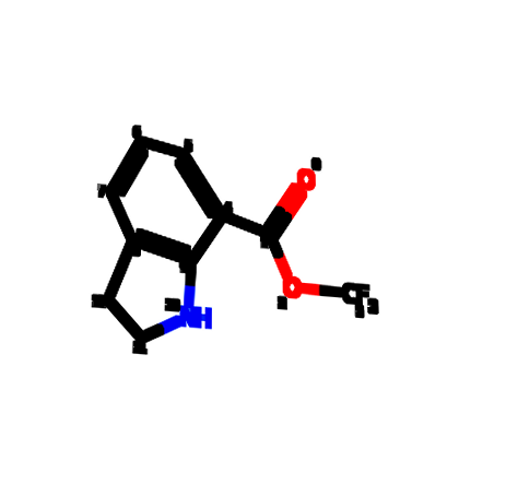 O=C(OC(F)(F)F)c1cccc2c1NCC2